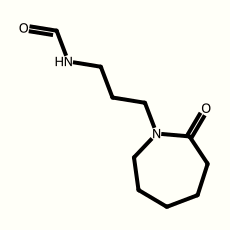 O=CNCCCN1CCCCCC1=O